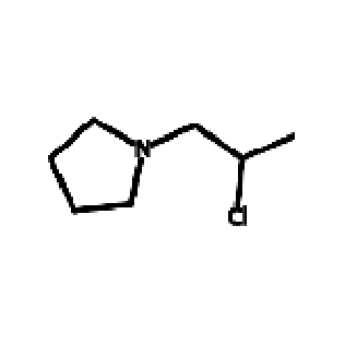 CC(Cl)CN1CCCC1